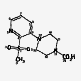 CS(=O)(=O)c1ncccc1N1CCN(C(=O)O)CC1